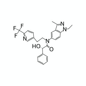 CCn1nc(C)c2cc(N(CCc3ccc(C(F)(F)F)nc3)C(=O)[C@@H](O)c3ccccc3)ccc21